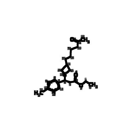 CCOC(=O)C[C@@H](c1cnc(C)nc1)N1CC(CCCCC(C)=O)C1